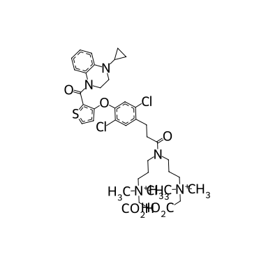 C[N+](C)(CCCN(CCC[N+](C)(C)CC(=O)O)C(=O)CCc1cc(Cl)c(Oc2ccsc2C(=O)N2CCN(C3CC3)c3ccccc32)cc1Cl)CC(=O)O